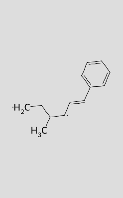 [CH2]CC(C)[CH]C=Cc1ccccc1